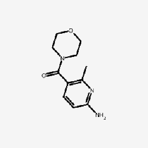 Cc1nc(N)ccc1C(=O)N1CCOCC1